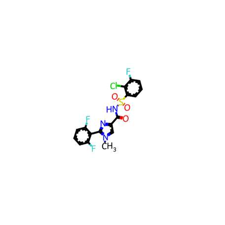 Cn1cc(C(=O)NS(=O)(=O)c2cccc(F)c2Cl)nc1-c1c(F)cccc1F